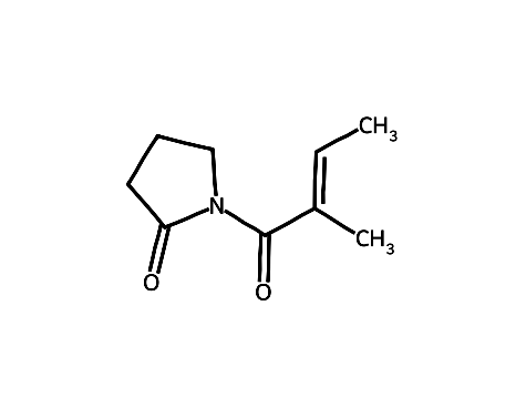 CC=C(C)C(=O)N1CCCC1=O